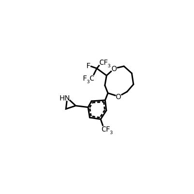 FC(F)(F)c1cc(C2CN2)cc(C2CC(C(F)(C(F)(F)F)C(F)(F)F)OCCCCO2)c1